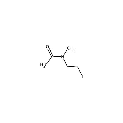 CC(=O)N(C)CCI